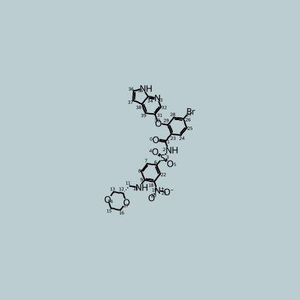 O=C(NS(=O)(=O)c1ccc(NC[C@H]2COCCO2)c([N+](=O)[O-])c1)c1ccc(Br)cc1Oc1cnc2[nH]ccc2c1